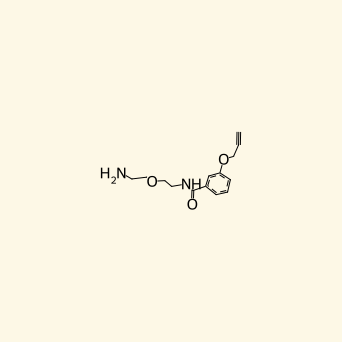 C#CCOc1cccc(C(=O)NCCOCCN)c1